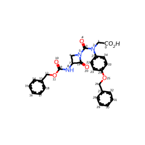 O=C(O)CN(C(=O)N1CC(NC(=O)OCc2ccccc2)C1=O)c1ccc(OCc2ccccc2)cc1